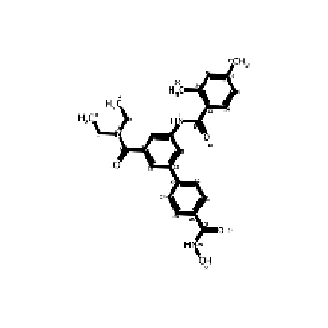 CCN(CC)C(=O)c1cc(NC(=O)c2ccc(C)cc2C)cc(-c2ccc(C(=O)NO)cc2)c1